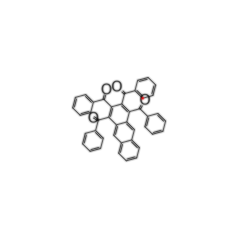 O=C(c1ccccc1)c1c(C(=O)c2ccccc2)c(C(=O)c2ccccc2)c2cc3ccccc3cc2c1C(=O)c1ccccc1